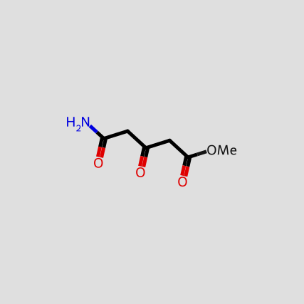 COC(=O)CC(=O)CC(N)=O